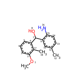 COc1cccc(C(O)c2cc(C)ccc2N)c1C